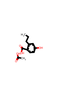 CC(=O)O.CCCc1cc(O)ccc1C(=O)O